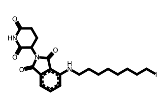 O=C1CCC(N2C(=O)c3cccc(NCCCCCCCCI)c3C2=O)C(=O)N1